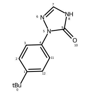 CC(C)(C)c1ccc(-n2nc[nH]c2=O)cc1